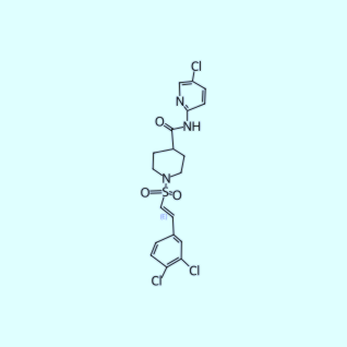 O=C(Nc1ccc(Cl)cn1)C1CCN(S(=O)(=O)/C=C/c2ccc(Cl)c(Cl)c2)CC1